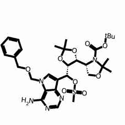 CC(C)(C)OC(=O)N1[C@@H]([C@H]2OC(C)(C)O[C@H]2C(OS(C)(=O)=O)c2cn(COCc3ccccc3)c3c(N)ncnc23)COC1(C)C